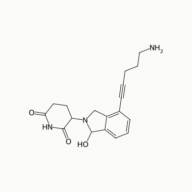 NCCCC#Cc1cccc2c1CN(C1CCC(=O)NC1=O)C2O